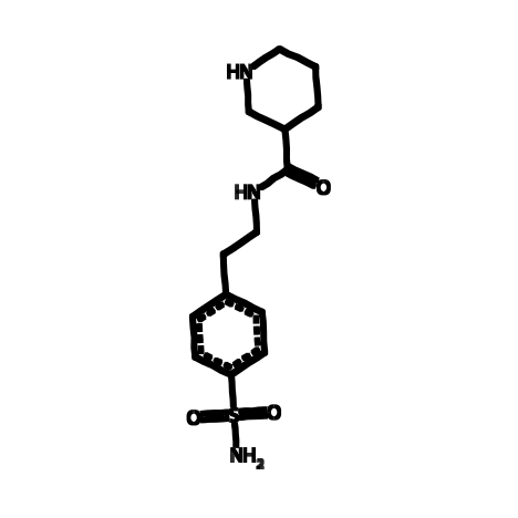 NS(=O)(=O)c1ccc(CCNC(=O)C2CCCNC2)cc1